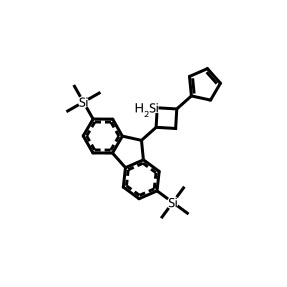 C[Si](C)(C)c1ccc2c(c1)C(C1CC(C3=CC=CC3)[SiH2]1)c1cc([Si](C)(C)C)ccc1-2